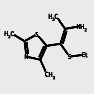 CCS/C(=C(/C)N)c1sc(C)nc1C